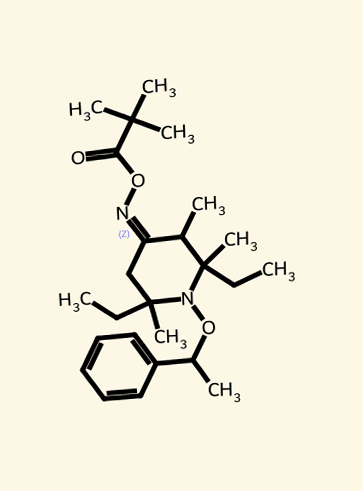 CCC1(C)C/C(=N/OC(=O)C(C)(C)C)C(C)C(C)(CC)N1OC(C)c1ccccc1